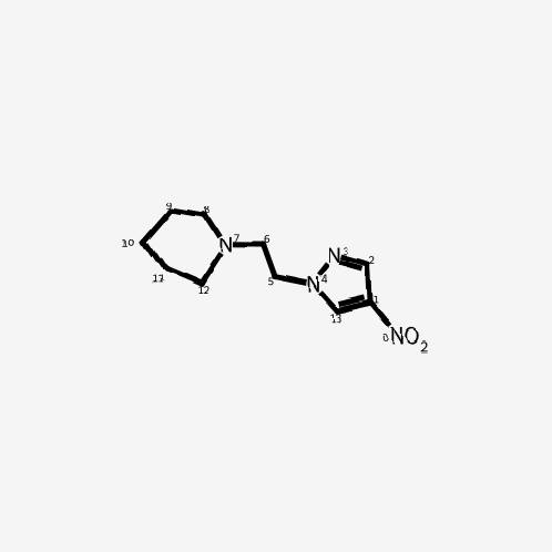 O=[N+]([O-])c1cnn(CCN2CCCCC2)c1